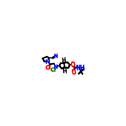 CC(C)(C)NC(=O)O[C@@H]1C[C@@H]2C[C@H](N(Cl)CC(=O)N3CCC[C@H]3C#N)C[C@@H]2C1